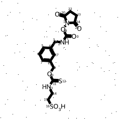 O=C(NCc1cccc(COC(=S)NCCS(=O)(=O)O)c1)ON1C(=O)CCC1=O